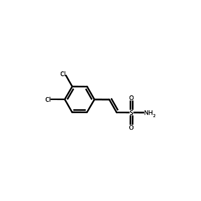 NS(=O)(=O)C=Cc1ccc(Cl)c(Cl)c1